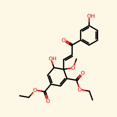 CCOC(=O)C1=CC(O)C(C=CC(=O)c2cccc(O)c2)(OC)C(C(=O)OCC)=C1